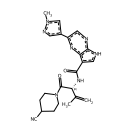 C=C(C)[C@@H](NC(=O)c1c[nH]c2ncc(-c3cnn(C)c3)nc12)C(=O)N1CCC(C#N)CC1